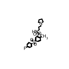 Cc1ccc(S(=O)(=O)c2ccc(F)cc2)cc1S(=O)(=O)NCCCN1CCCC1